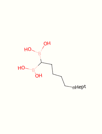 CCCCCCCCCCCC(B(O)O)B(O)O